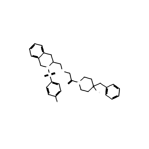 O=C(COCC1Cc2ccccc2CN1S(=O)(=O)c1ccc(F)cc1)N1CCC(O)(Cc2ccccc2)CC1